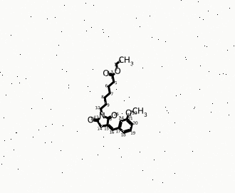 CCOC(=O)CCCCCCN1C(=O)CC(=Cc2cccc(OC)c2)C1=O